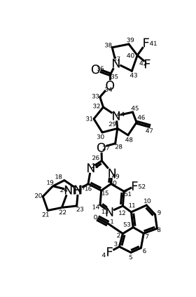 C#Cc1c(F)ccc2cccc(-c3ncc4c(N5CC6CCC(C5)N6)nc(OCC56CCC(COC(=O)N7CCC(F)(F)C7)N5CC(=C)C6)nc4c3F)c12